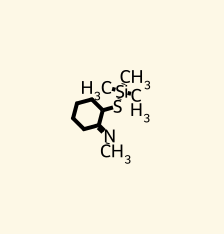 CN=C1CCCCC1S[Si](C)(C)C